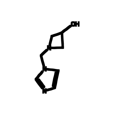 OC1CN(Cn2ccnc2)C1